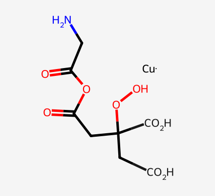 NCC(=O)OC(=O)CC(CC(=O)O)(OO)C(=O)O.[Cu]